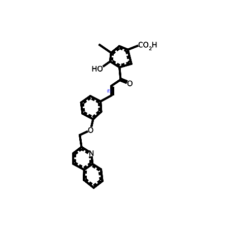 Cc1cc(C(=O)O)cc(C(=O)/C=C/c2cccc(OCc3ccc4ccccc4n3)c2)c1O